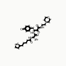 CC(C)[C@H](NC(=O)CCCCC1CCSS1)C(=O)N[C@@H](Cc1ccc(Cl)cc1)C(=O)C(=O)NCCN1CCOCC1